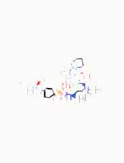 C/C(=C\[C@H](C(C)C)N(C)C(=O)[C@@H](NC(=O)[C@H]1CCCCN1C(C)C)C(C)(C)C)C(=O)NS(=O)(=O)c1ccc(NC(=O)C(F)(F)F)cc1